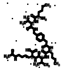 CSCC[C@H](NC(=O)Cc1ccc(CNC(=O)[C@@H](NC(=O)[C@@H](N)CCSC)C(C)C)cc1)C(=O)N[C@H](C(=O)N[C@@H](CCCCNC(C)=O)C(=O)O)C(C)C